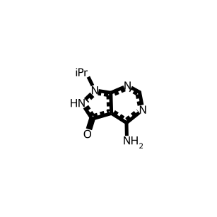 CC(C)n1[nH]c(=O)c2c(N)ncnc21